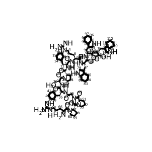 N=C(N)NCCC[C@H](NC(=O)[C@H](Cc1ccccc1)NC(=O)[C@@H]1CCCN1C(=O)[C@H](CO)NC(=O)[C@H](Cc1ccccc1)NC(=O)CNC(=O)[C@@H]1CCCN1C(=O)[C@@H]1CCCN1C(=O)[C@@H](N)CCCNC(=N)N)C(=O)N[C@@H](Cc1c[nH]c2ccccc12)C(=O)N[C@@H](Cc1c[nH]c2ccccc12)C(=O)N[C@@H](Cc1c[nH]c2ccccc12)C(=O)O